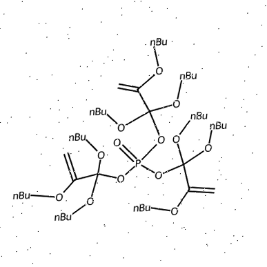 C=C(OCCCC)C(OCCCC)(OCCCC)OP(=O)(OC(OCCCC)(OCCCC)C(=C)OCCCC)OC(OCCCC)(OCCCC)C(=C)OCCCC